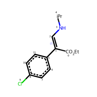 CCOC(=O)/C(=C\NC(C)C)c1ccc(Cl)cc1